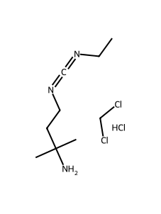 CCN=C=NCCC(C)(C)N.Cl.ClCCl